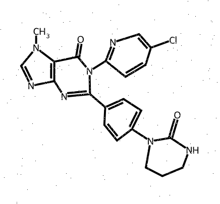 Cn1cnc2nc(-c3ccc(N4CCCNC4=O)cc3)n(-c3ccc(Cl)cn3)c(=O)c21